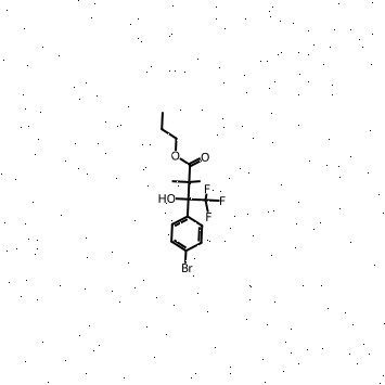 CCCOC(=O)C(C)(C)C(O)(c1ccc(Br)cc1)C(F)(F)F